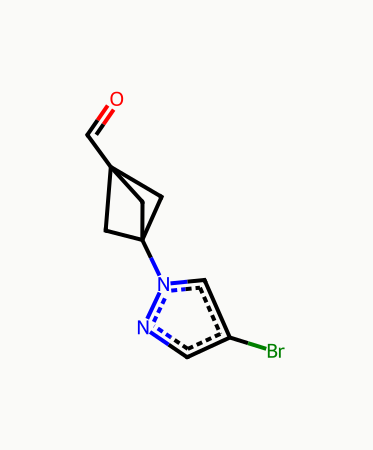 O=CC12CC(n3cc(Br)cn3)(C1)C2